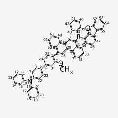 COc1cc(-c2ccc(N(c3ccccc3)c3ccccc3)cc2)ccc1-c1cc2c3ccccc3c(B(c3ccccc3)c3cccc4c3oc3ccccc34)cc2c2ccccc12